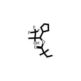 CCC(C)(C)C(=O)OC(C1CCCC1)C(C)(O)C(F)(F)F